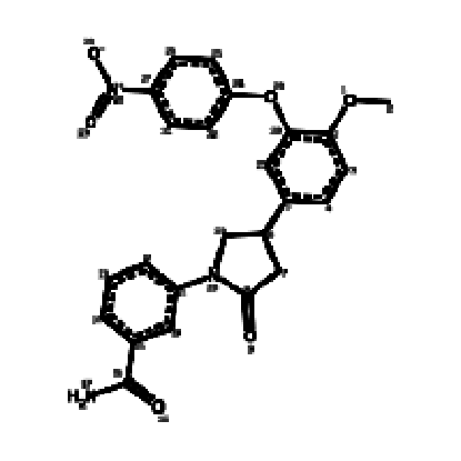 COc1ccc(C2CC(=O)N(c3cccc(C(N)=O)c3)C2)cc1Oc1ccc([N+](=O)[O-])cc1